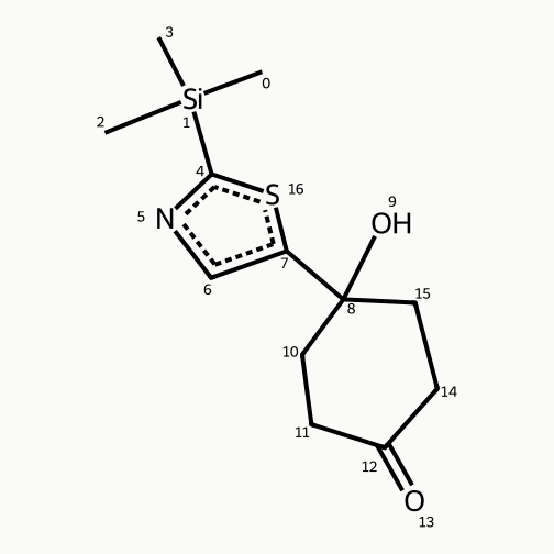 C[Si](C)(C)c1ncc(C2(O)CCC(=O)CC2)s1